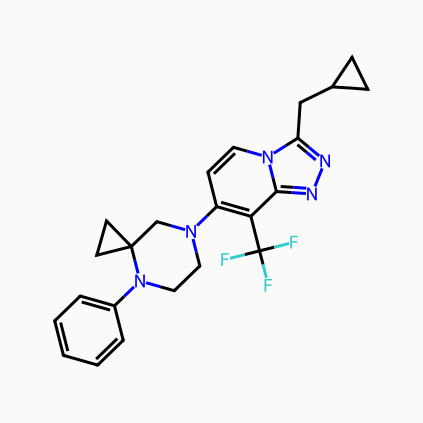 FC(F)(F)c1c(N2CCN(c3ccccc3)C3(CC3)C2)ccn2c(CC3CC3)nnc12